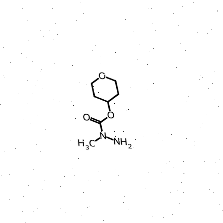 CN(N)C(=O)OC1CCOCC1